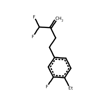 C=C(CCc1ccc(CC)c(F)c1)C(F)F